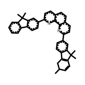 CC1C=CC2=C(C1)c1ccc(-c3ccc4ccc5ccc(-c6ccc7c(c6)C(C)(C)c6ccccc6-7)nc5c4n3)cc1C2(C)C